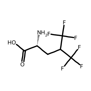 N[C@H](CC(C(F)(F)F)C(F)(F)F)C(=O)O